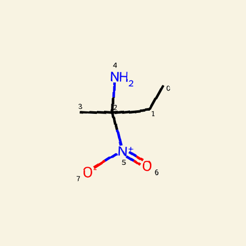 CCC(C)(N)[N+](=O)[O-]